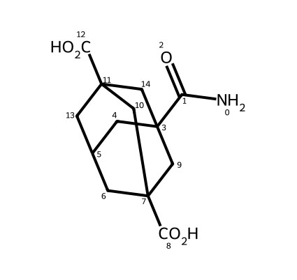 NC(=O)C12CC3CC(C(=O)O)(C1)CC(C(=O)O)(C3)C2